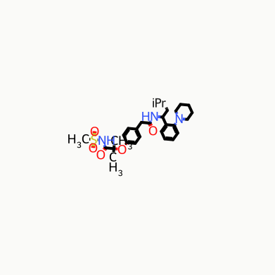 CC(C)CC(NC(=O)Cc1ccc(OC(C)(C)C(=O)NS(C)(=O)=O)cc1)c1ccccc1N1CCCCC1